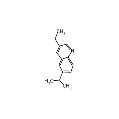 CCc1cnc2ccc(C(C)C)cc2c1